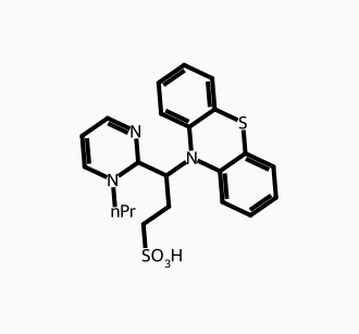 CCCN1C=CC=NC1C(CCS(=O)(=O)O)N1c2ccccc2Sc2ccccc21